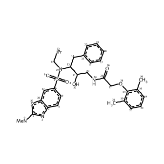 CNc1nc2ccc(S(=O)(=O)N(CC(C)C)C(Cc3ccccc3)C(O)CNC(=O)COc3c(C)cccc3C)cc2s1